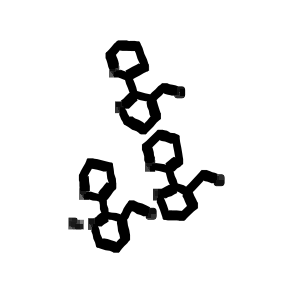 O=Cc1cccnc1-c1ccccn1.O=Cc1cccnc1-c1ccccn1.O=Cc1cccnc1-c1ccccn1.[Ru]